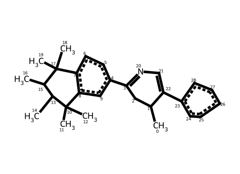 CC1CC(c2ccc3c(c2)C(C)(C)C(C)C(C)C3(C)C)=NC=C1c1ccccc1